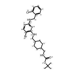 CC(C)(C)OC(=O)NCC1CCC(CNc2nc(NCc3ccccc3Cl)ncc2Br)CC1